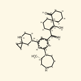 C[C@H]1CNCCCN1c1nc(C(=N)C2=C(O)[C@]3(CCCCC3=O)CCC2)cc(N2CCNC3(CC3)C2)n1